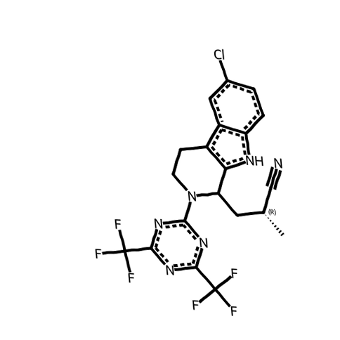 C[C@@H](C#N)CC1c2[nH]c3ccc(Cl)cc3c2CCN1c1nc(C(F)(F)F)nc(C(F)(F)F)n1